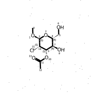 CO[C@H]1O[C@H](CO)[C@@H](O)[C@H](OC(C)=O)[C@@H]1Cl